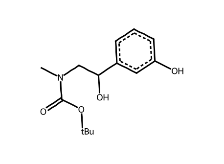 CN(CC(O)c1cccc(O)c1)C(=O)OC(C)(C)C